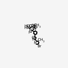 CN=S1(=O)C[C@@](CF)(c2cc(-c3cc(-c4ncc(Br)cc4C)no3)ccc2F)N=C(NC(=O)O)C1(C)C